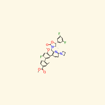 COC(=O)c1ccc(-c2cc(-c3ccc(N4CCC4)nc3CN3C(=O)O[C@H](c4cc(F)cc(F)c4)[C@@H]3C)c(OC)cc2F)c(C)c1